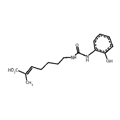 CC(=CCCCCNC(=O)Nc1ccccc1O)C(=O)O